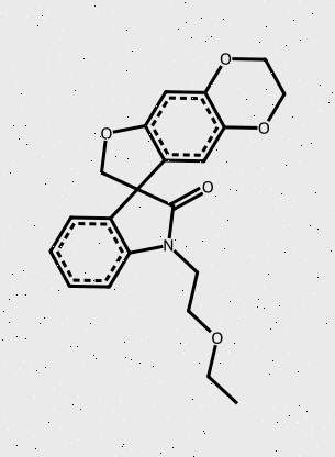 CCOCCN1C(=O)C2(COc3cc4c(cc32)OCCO4)c2ccccc21